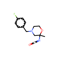 CC1(N=C=O)CN(Cc2ccc(F)cc2)CCO1